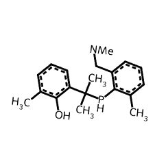 CNCc1cccc(C)c1PC(C)(C)c1cccc(C)c1O